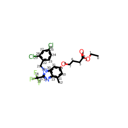 CCOC(=O)CCCOc1cc(C)c2nc(C(F)(F)F)n(Cc3ccc(Cl)cc3Cl)c2c1